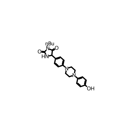 CCCCN1C(=O)NC(c2ccc(N3CCN(c4ccc(O)cc4)CC3)cc2)C1=O